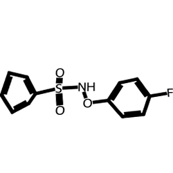 O=S(=O)(NOc1ccc(F)cc1)c1ccccc1